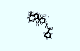 C[C@@]1(F)C[C@@H](COC(=O)c2ccccc2)OC1(O)c1ccc2c(N)ncnn12